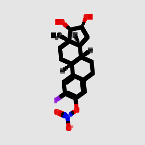 C[C@]12CC[C@@H]3c4cc(I)c(O[N+](=O)[O-])cc4CC[C@H]3[C@@H]1C[C@@H](O)[C@@H]2O